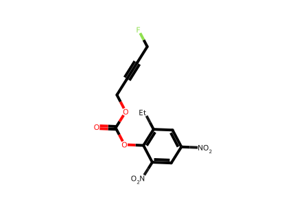 CCc1cc([N+](=O)[O-])cc([N+](=O)[O-])c1OC(=O)OCC#CCF